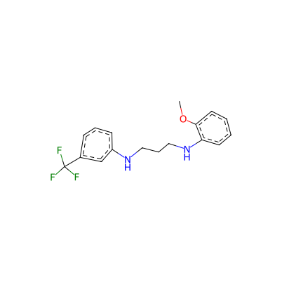 COc1ccccc1NCCCNc1cccc(C(F)(F)F)c1